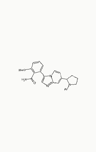 COc1cccc(-c2cnc3cc(C4CCCN4C(C)C)ccn23)c1C(N)=O